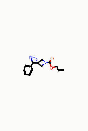 C=CCOC(=O)N1CC(C(N)c2ccccc2)C1